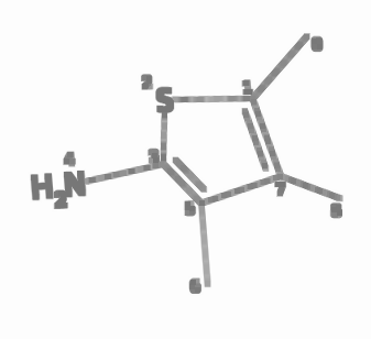 Cc1sc(N)c(C)c1C